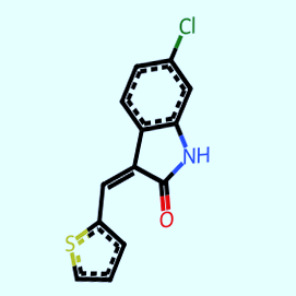 O=C1Nc2cc(Cl)ccc2C1=Cc1cccs1